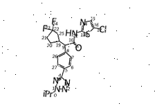 CC(C)n1nnc(-c2ccc(C(C(=O)Nc3ncc(Cl)s3)C3CCC(F)(F)C3)cc2)n1